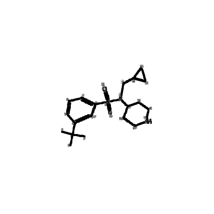 CC(C)(C)c1cccc(S(=O)(=O)N(CC2CC2)C2CCNCC2)c1